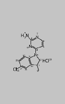 CC1CN(c2ccnc(N)n2)c2ccc(Cl)cc21.Cl